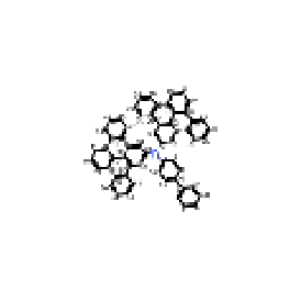 c1ccc(-c2ccc(N(c3ccc(-c4ccccc4-c4ccccc4)c(-c4ccccc4)c3)c3ccc(-c4ccccc4-c4ccccc4)c(-c4ccccc4)c3)cc2)cc1